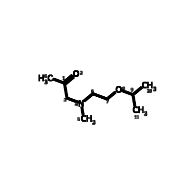 CC(=O)CN(C)CCOC(C)C